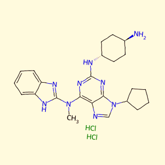 CN(c1nc2ccccc2[nH]1)c1nc(N[C@H]2CC[C@H](N)CC2)nc2c1ncn2C1CCCC1.Cl.Cl